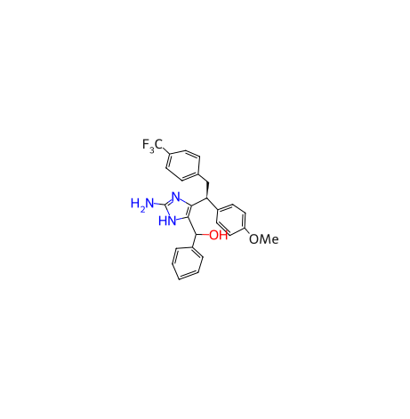 COc1ccc([C@H](Cc2ccc(C(F)(F)F)cc2)c2nc(N)[nH]c2C(O)c2ccccc2)cc1